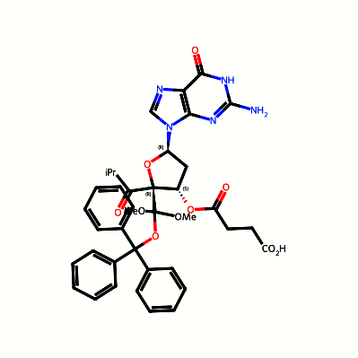 COC(OC)(OC(c1ccccc1)(c1ccccc1)c1ccccc1)[C@@]1(C(=O)C(C)C)O[C@@H](n2cnc3c(=O)[nH]c(N)nc32)C[C@@H]1OC(=O)CCC(=O)O